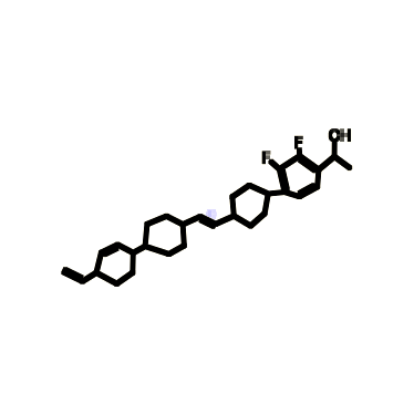 C=CC1C=CC(C2CCC(/C=C/C3CCC(c4ccc(C(C)O)c(F)c4F)CC3)CC2)CC1